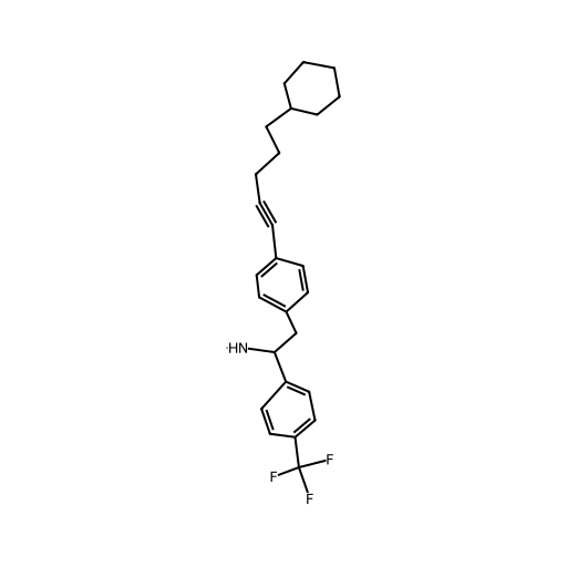 [NH]C(Cc1ccc(C#CCCCC2CCCCC2)cc1)c1ccc(C(F)(F)F)cc1